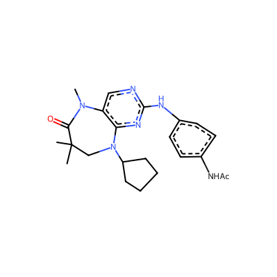 CC(=O)Nc1ccc(Nc2ncc3c(n2)N(C2CCCC2)CC(C)(C)C(=O)N3C)cc1